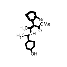 COC(=O)C(=C(C)NC(C)C1CCC(O)CC1)c1ccccc1Br